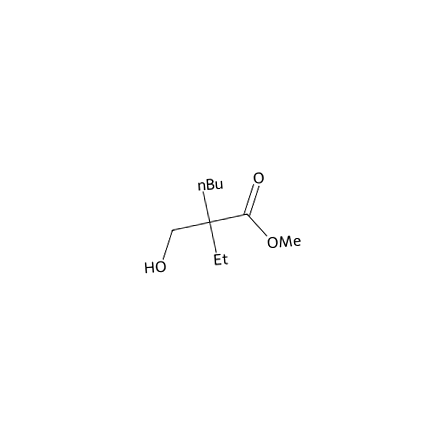 CCCCC(CC)(CO)C(=O)OC